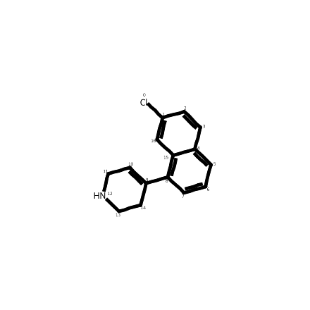 Clc1ccc2cccc(C3=CCNCC3)c2c1